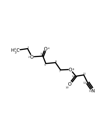 CCOC(=O)CCCOC(=O)CC#N